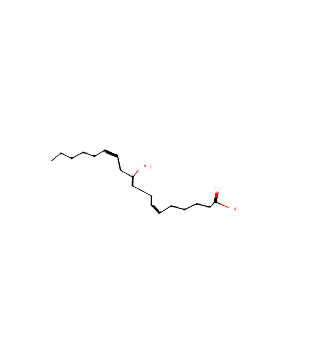 CCCCC/C=C\CC(O)CC/C=C\CCCCC(=O)O